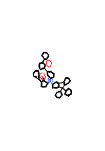 c1ccc(C2(c3ccccc3)c3ccccc3-c3cc(N(c4cccc(-c5cccc6c5oc5ccccc56)c4)c4cccc5c4oc4ccccc45)ccc32)cc1